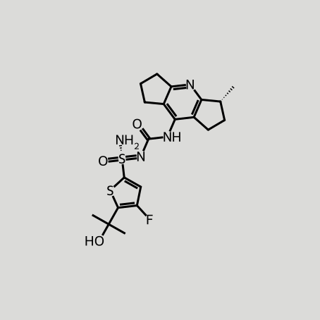 C[C@@H]1CCc2c1nc1c(c2NC(=O)N=[S@](N)(=O)c2cc(F)c(C(C)(C)O)s2)CCC1